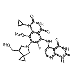 COc1c(N2CC(CO)C3(CC3)C2)c(F)c(Nc2ccnc3[nH]c(=O)[nH]c(=O)c23)c2c(=O)[nH]c(=O)n(C3CC3)c12